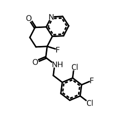 O=C1CCC(F)(C(=O)NCc2ccc(Cl)c(F)c2Cl)c2cccnc21